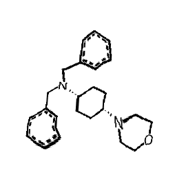 c1ccc(CN(Cc2ccccc2)[C@H]2CC[C@@H](N3CCOCC3)CC2)cc1